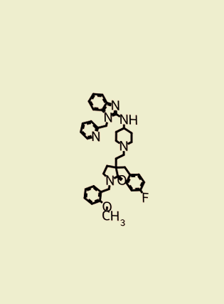 COc1ccccc1CN1CCC(CCN2CCC(Nc3nc4ccccc4n3Cc3ccccn3)CC2)(Cc2ccc(F)cc2)C1=O